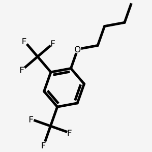 CCCCOc1ccc(C(F)(F)F)cc1C(F)(F)F